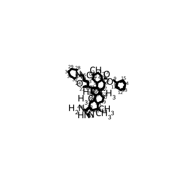 CC1(C)CC[C@]2(C(=O)OCc3ccccc3)CC[C@]3(C)C(=C(c4coc(CN5CCCCC5)c4)CC4[C@@]5(C)Cc6c(n[nH]c6N)C(C)(C)C5CC[C@]43C)C2C1